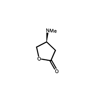 CN[C@@H]1COC(=O)C1